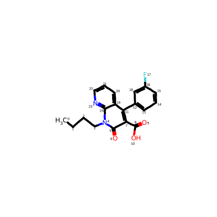 CCCCn1c(=O)c(C(=O)O)c(-c2cccc(F)c2)c2cccnc21